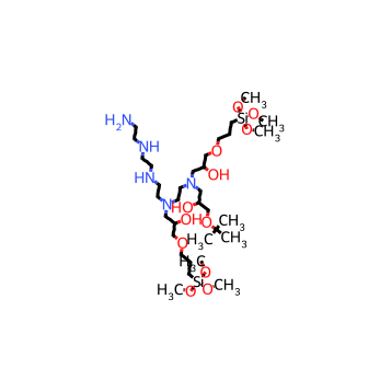 CO[Si](CCCOCC(O)CN(CCNCCNCCN)CCN(CC(O)COCCC[Si](OC)(OC)OC)CC(O)COC(C)(C)C)(OC)OC